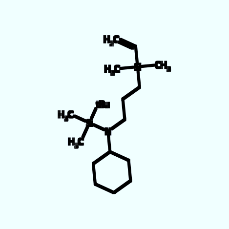 C=C[Si](C)(C)CCCN(C1CCCCC1)[Si](C)(C)C(C)(C)C